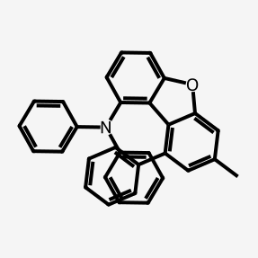 Cc1cc(-c2ccccc2)c2c(c1)oc1cccc(N(c3ccccc3)c3ccccc3)c12